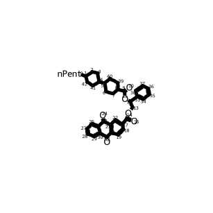 CCCCCC1CCC(C2CCC(C(=O)OC(COC(=O)c3ccc4c(c3)C(=O)c3ccccc3C4=O)c3ccccc3)CC2)CC1